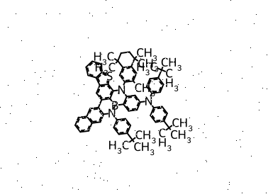 Cc1cc2c(cc1N1c3cc(N(c4ccc(C(C)(C)C)cc4)c4ccc(C(C)(C)C)cc4)ccc3B3c4c(cc5c(sc6ccccc65)c41)-c1cc4ccccc4cc1N3c1ccc(C(C)(C)C)cc1)C(C)(C)CCC2(C)C